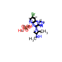 CNC1CN(c2nc3ncc(Br)cc3n3cnnc23)C1C.O.O=S(=O)(O)O